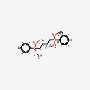 CCCO[Si](CCCC[Si](OCCC)(OCCC)c1ccccc1)(OCCC)c1ccccc1